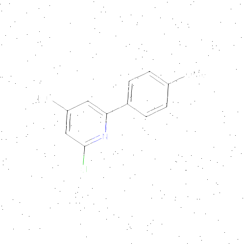 COc1ccc(-c2cc(C(F)(F)F)cc(Cl)n2)cc1